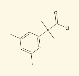 Cc1cc(C)cc(C(C)(C)C(=O)Cl)c1